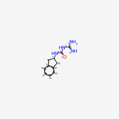 N=C(N)NC(=O)NC1Cc2ccccc2C1